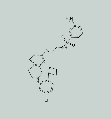 Nc1cccc(S(=O)(=O)NCCOc2ccc3c(c2)C(C2(c4ccc(Cl)cc4)CCC2)NCC3)c1